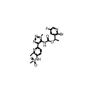 Cc1nc(-c2nnn(C)c2NC(=O)OC(C)c2cc(F)cnc2Br)ccc1NS(C)(=O)=O